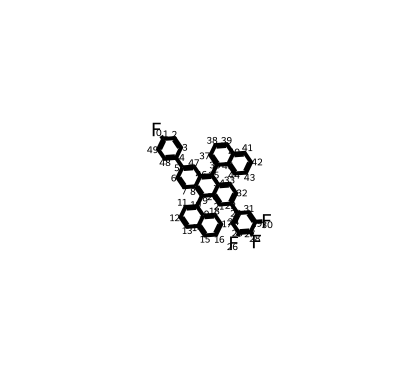 Fc1ccc(-c2ccc3c(-c4cccc5ccccc45)c4cc(-c5cc(F)c(F)c(F)c5)ccc4c(-c4cccc5ccccc45)c3c2)cc1